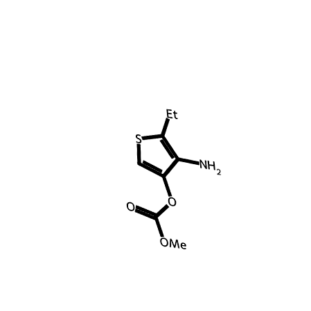 CCc1scc(OC(=O)OC)c1N